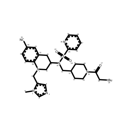 Cn1cncc1CN1CC(N(CC2CCN(C(=O)CC(C)(C)C)CC2)S(=O)(=O)c2ccccn2)Cc2cc(C#N)ccc21